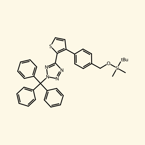 CC(C)(C)[Si](C)(C)OCc1ccc(-c2ccsc2-c2nnn(C(c3ccccc3)(c3ccccc3)c3ccccc3)n2)cc1